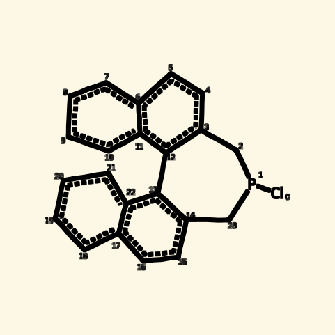 ClP1Cc2ccc3ccccc3c2-c2c(ccc3ccccc23)C1